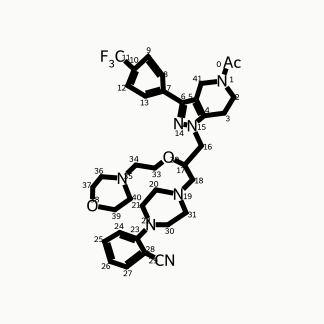 CC(=O)N1CCc2c(c(-c3ccc(C(F)(F)F)cc3)nn2CC(CN2CCN(c3ccccc3C#N)CC2)OCCN2CCOCC2)C1